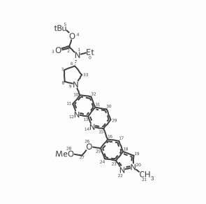 CCN(C(=O)OC(C)(C)C)[C@H]1CCN(c2cnc3nc(-c4cc5cn(C)nc5cc4OCOC)ccc3c2)C1